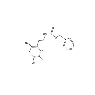 CC1=C(C#N)CC(C#N)=C(CCNC(=O)OCc2ccccc2)N1